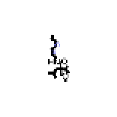 C=C/C=C\C=C/CNC(=O)C(C=C(C)C)(COC)C(C)C